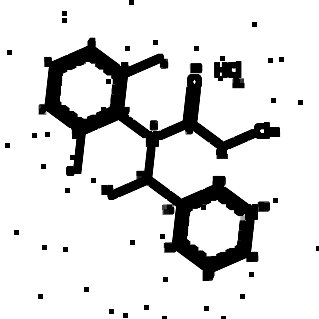 Cc1cccc(C)c1N(C(=O)CCl)C(C)c1cccnc1.Cl